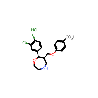 Cl.O=C(O)c1ccc(OC[C@H]2CNCCO[C@H]2c2ccc(Cl)c(Cl)c2)cc1